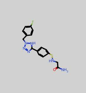 NC(=O)CNSc1ccc(C2N=NN(Cc3ccc(F)cc3)N2)cc1